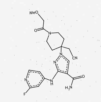 COCC(=O)N1CCC(CC#N)(n2cc(C(N)=O)c(Nc3ccnc(F)c3)n2)CC1